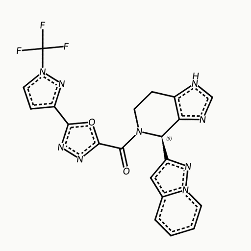 O=C(c1nnc(-c2ccn(C(F)(F)F)n2)o1)N1CCc2[nH]cnc2[C@H]1c1cc2ccccn2n1